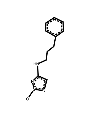 [O-][s+]1ncc(NCCCc2ccccc2)n1